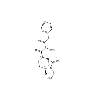 NN(C(=O)Cc1ccncc1)C(=O)[C@@H]1CC[C@@H]2CN1C(=O)N2OS(=O)(=O)O